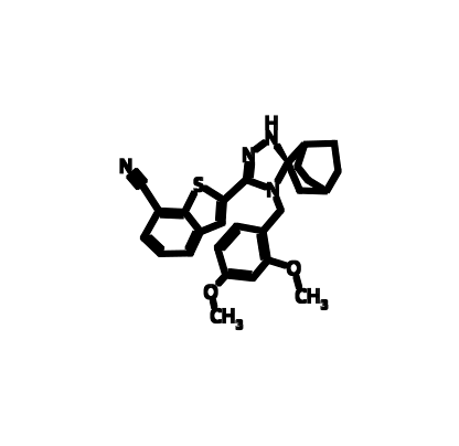 COc1ccc(CN2C(c3cc4cccc(C#N)c4s3)=NN[C@@]23CC2CCC3CC2)c(OC)c1